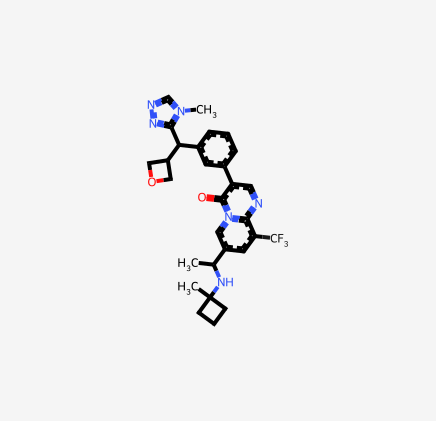 CC(NC1(C)CCC1)c1cc(C(F)(F)F)c2ncc(-c3cccc(C(c4nncn4C)C4COC4)c3)c(=O)n2c1